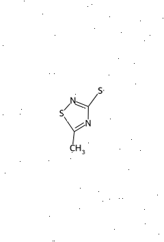 Cc1nc([S])ns1